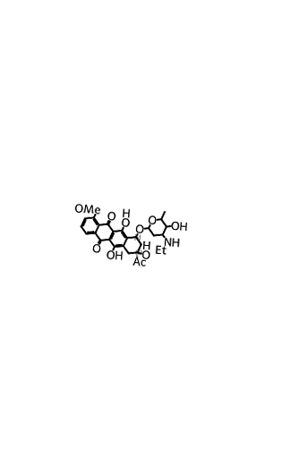 CCNC1CC(O[C@H]2C[C@](O)(C(C)=O)Cc3c(O)c4c(c(O)c32)C(=O)c2c(OC)cccc2C4=O)OC(C)C1O